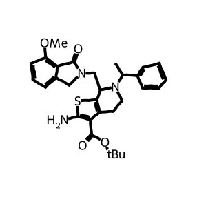 COc1cccc2c1C(=O)N(CC1c3sc(N)c(C(=O)OC(C)(C)C)c3CCN1C(C)c1ccccc1)C2